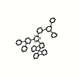 c1ccc(-c2cc(-c3ccccc3)cc(-c3cccc(-c4nc(-c5ccc(-c6ccccc6)c(-c6ccccc6)c5)nc(-c5cccc6c5-c5ccccc5C65c6ccccc6-c6ccccc65)n4)c3)c2)cc1